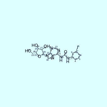 O=C(Nc1cccc(I)c1)Nc1ncnc2c1ncn2[C@@H]1O[C@H](CO)C(O)C1O